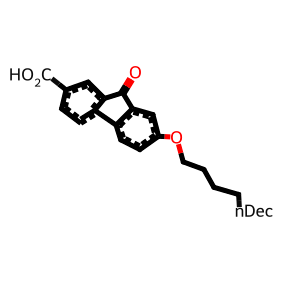 CCCCCCCCCCCCCCOc1ccc2c(c1)C(=O)c1cc(C(=O)O)ccc1-2